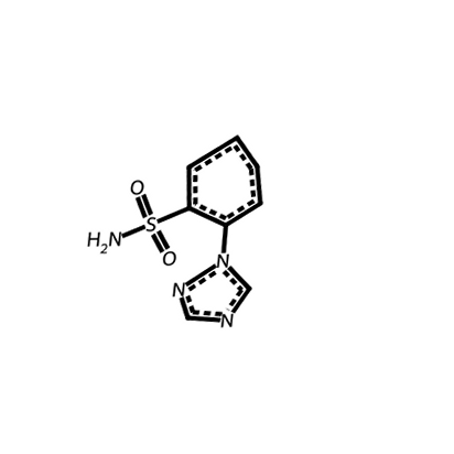 NS(=O)(=O)c1ccccc1-n1cncn1